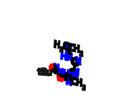 Cc1ncc(C(=O)Nc2cc(C(C)(C)C)on2)cc1-n1cc(-c2cncc(NCCN(C)C)c2)nn1